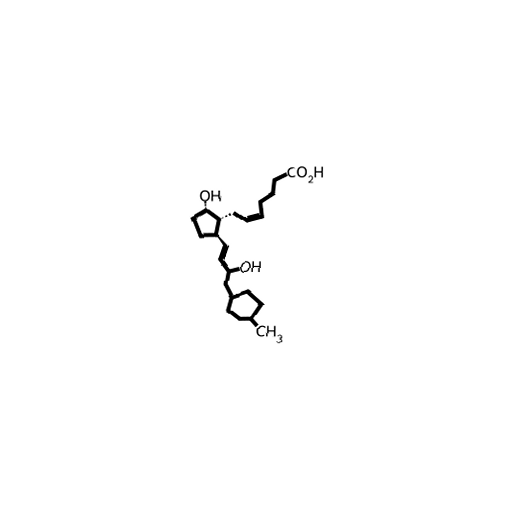 CC1CCC(CC(O)/C=C/[C@H]2CC[C@H](O)[C@@H]2C/C=C\CCCC(=O)O)CC1